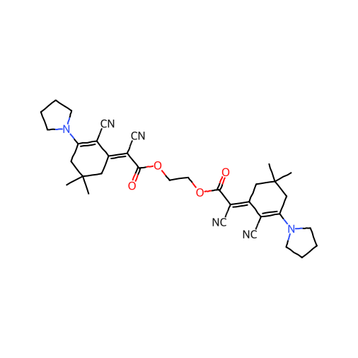 CC1(C)CC(N2CCCC2)=C(C#N)/C(=C(\C#N)C(=O)OCCOC(=O)/C(C#N)=C2\CC(C)(C)CC(N3CCCC3)=C2C#N)C1